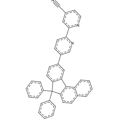 N#Cc1ccnc(-c2ccc(-c3ccc4c(c3)-c3c(ccc5ccccc35)C4(c3ccccc3)c3ccccc3)cn2)c1